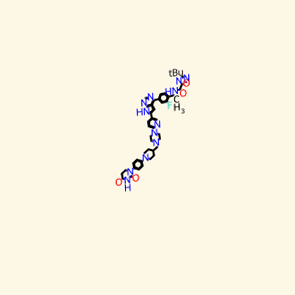 CC(NC(=O)c1nc(C(C)(C)C)no1)c1ccc(-c2ncnc3[nH]c(-c4ccc(N5CCN(CC6CCN(c7ccc(N8CCC(=O)NC8=O)cc7)CC6)CC5)nc4)cc23)cc1F